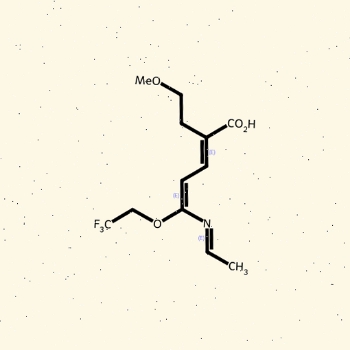 C/C=N/C(=C\C=C(/CCOC)C(=O)O)OCC(F)(F)F